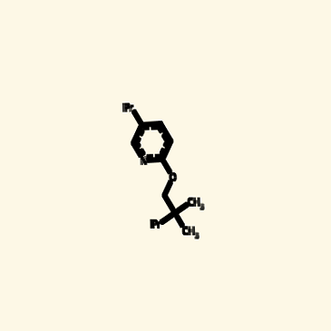 CC(C)c1ccc(OCC(C)(C)C(C)C)nc1